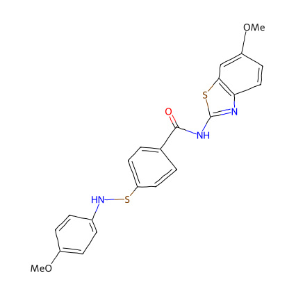 COc1ccc(NSc2ccc(C(=O)Nc3nc4ccc(OC)cc4s3)cc2)cc1